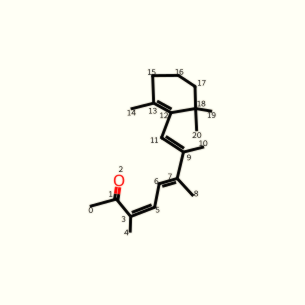 CC(=O)C(C)=CC=C(C)C(C)=CC1=C(C)CCCC1(C)C